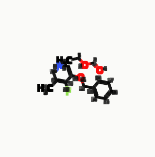 CCOC=O.Cc1cncc(OCc2ccccc2)c1F